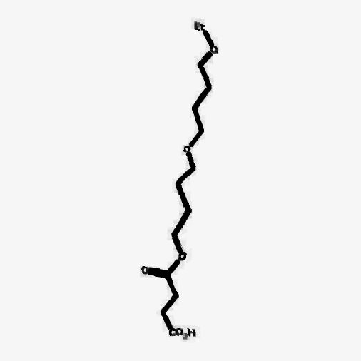 CCOCCCCOCCCCOC(=O)CCC(=O)O